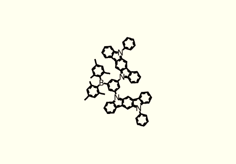 Cc1cc(C)c(B(c2cc(-n3c4ccccc4c4cc5c(cc43)c3ccccc3n5-c3ccccc3)cc(-n3c4ccccc4c4cc5c(cc43)c3ccccc3n5-c3ccccc3)c2)c2c(C)cc(C)cc2C)c(C)c1